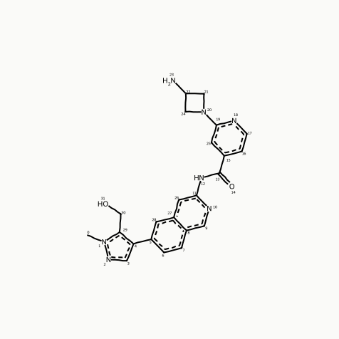 Cn1ncc(-c2ccc3cnc(NC(=O)c4ccnc(N5CC(N)C5)c4)cc3c2)c1CO